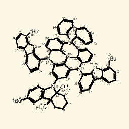 CC(C)(C)c1ccc2c(c1)C1(C)CCCCC1(C)N2c1cc2c3c(c1)N(c1cccc4c1oc1c(C(C)(C)C)cccc14)c1cccc4c1B3c1c(cccc1[Si]4(c1ccccc1)c1ccccc1)N2c1cccc2c1oc1c(C(C)(C)C)cccc12